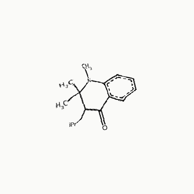 CC(C)C1C(=O)c2ccccc2N(C)C1(C)C